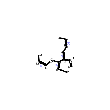 C=NC(=C\C=C/C)/C(=C\C)S/C=C\C